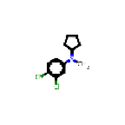 CN(c1ccc(Cl)c(Cl)c1)C1CCCC1